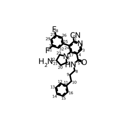 N#Cc1ncc(C(=O)NCCCc2ccccc2)c(N2CC[C@H](N)C2)c1-c1cc(F)cc(F)c1